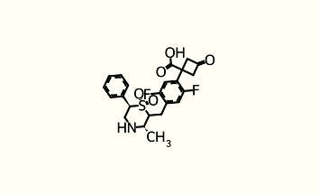 C[C@@H]1NC[C@@H](c2ccccc2)S(=O)(=O)C1Cc1cc(F)c(C2(C(=O)O)CC(=O)C2)cc1F